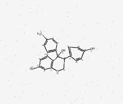 Cc1ccc(C2(O)c3ccc(N=O)cc3OCC2c2ccc(O)cc2)cc1